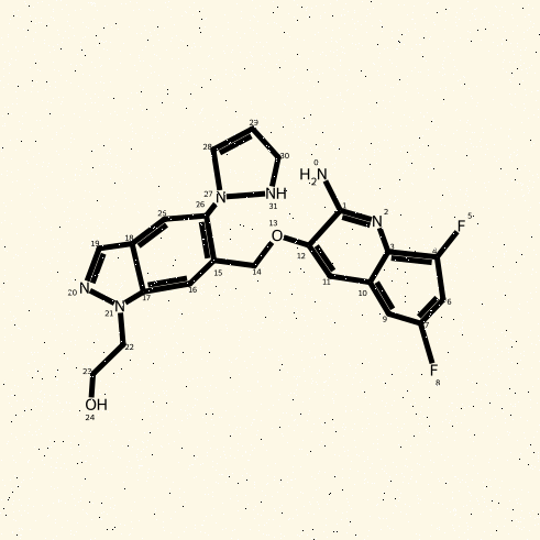 Nc1nc2c(F)cc(F)cc2cc1OCc1cc2c(cnn2CCO)cc1N1C=CCN1